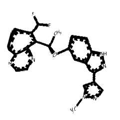 CC(Oc1ccc2[nH]nc(-c3cnn(C)c3)c2c1)c1c(C(F)F)ccc2nccnc12